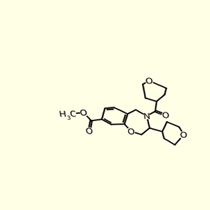 COC(=O)c1ccc2c(c1)OCC(C1CCOCC1)N(C(=O)C1CCOCC1)C2